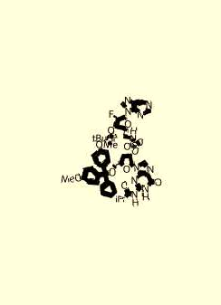 COc1ccc(C(OC[C@@H]2C[C@@H](OS(=O)(=O)NC[C@H]3O[C@@H](n4cnc5cncnc54)[C@H](F)[C@@H]3O[Si](C)(C)C(C)(C)C)[C@H](n3cnc4c(=O)[nH]c(NC(=O)C(C)C)nc43)O2)(c2ccccc2)c2ccc(OC)cc2)cc1